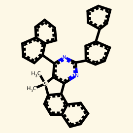 C[Si]1(C)c2ccc3ccccc3c2-c2nc(-c3cccc(-c4ccccc4)c3)nc(-c3cccc4ccccc34)c21